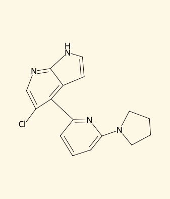 Clc1cnc2[nH]ccc2c1-c1cccc(N2CCCC2)n1